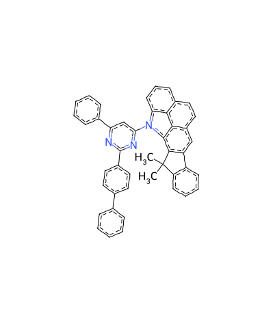 CC1(C)c2ccccc2-c2cc3ccc4cccc5c4c3c(c21)n5-c1cc(-c2ccccc2)nc(-c2ccc(-c3ccccc3)cc2)n1